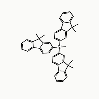 CC1(C)c2ccccc2-c2ccc([Si](C)(c3ccc4c(c3)C(C)(C)c3ccccc3-4)c3ccc4c(c3)C(C)(C)c3ccccc3-4)cc21